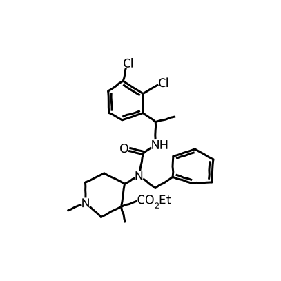 CCOC(=O)C1(C)CN(C)CCC1N(Cc1ccccc1)C(=O)NC(C)c1cccc(Cl)c1Cl